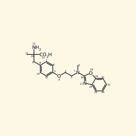 CN(CCOc1ccc(CC(C)(N)C(=O)O)cc1)c1nc2ccccc2o1